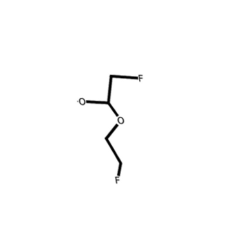 [O]C(CF)OCCF